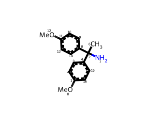 COc1ccc(C(C)(N)c2ccc(OC)cc2)cc1